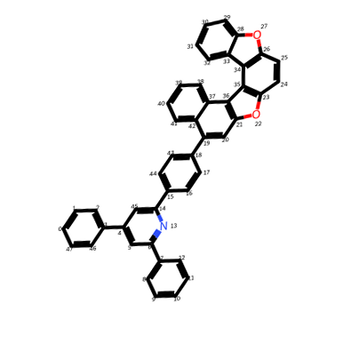 c1ccc(-c2cc(-c3ccccc3)nc(-c3ccc(-c4cc5oc6ccc7oc8ccccc8c7c6c5c5ccccc45)cc3)c2)cc1